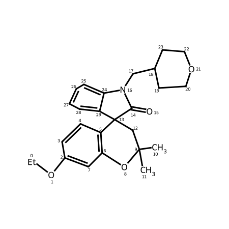 CCOc1ccc2c(c1)OC(C)(C)CC21C(=O)N(CC2CCOCC2)c2ccccc21